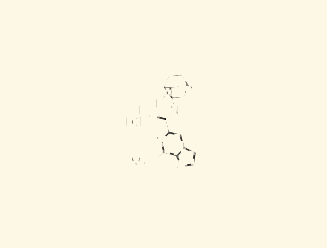 CSc1nc(C(=O)N[C@H]2CN3CCC2CC3)cc2ccoc12.Cl.Cl